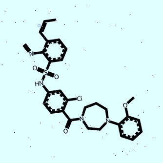 C=Nc1c(/C=C\C)cccc1S(=O)(=O)Nc1ccc(C(=O)N2CCCN(c3ccccc3OC)CC2)c(Cl)c1